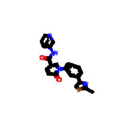 Cc1nc(-c2cccc(-n3cc(C(=O)NC4CN5CCC4CC5)ccc3=O)c2)cs1